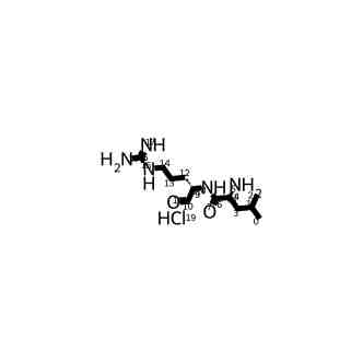 CC(C)C[C@H](N)C(=O)N[C@H](C=O)CCCNC(=N)N.Cl